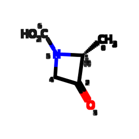 C[C@@H]1C(=O)CN1C(=O)O